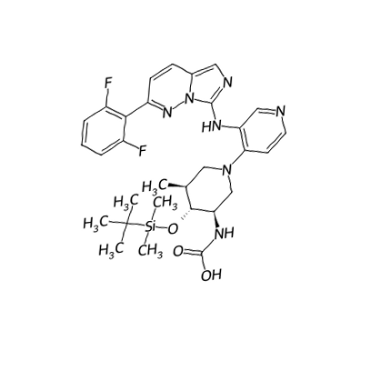 C[C@H]1CN(c2ccncc2Nc2ncc3ccc(-c4c(F)cccc4F)nn23)C[C@@H](NC(=O)O)[C@@H]1O[Si](C)(C)C(C)(C)C